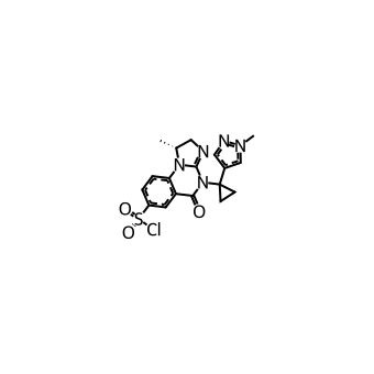 C[C@@H]1CN=C2N1c1ccc(S(=O)(=O)Cl)cc1C(=O)N2C1(c2cnn(C)c2)CC1